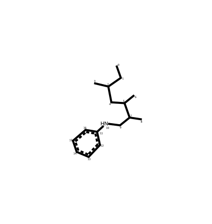 CCC(C)CC(C)C(C)CNc1ccccc1